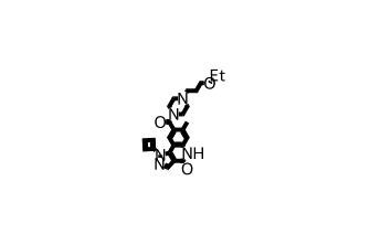 CCOCCCN1CCN(C(=O)c2cc3c(cc2C)[nH]c(=O)c2cnn(C4=CC=C4)c23)CC1